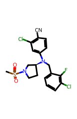 CS(=O)(=O)N1CC[C@H](N(Cc2cccc(Cl)c2F)c2ccc(C#N)c(Cl)c2)C1